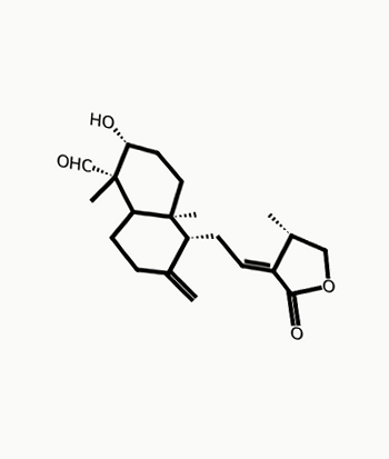 C=C1CCC2[C@](C)(C=O)[C@H](O)CC[C@@]2(C)[C@@H]1C/C=C1/C(=O)OC[C@H]1C